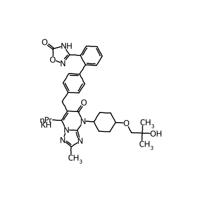 CCCc1c(Cc2ccc(-c3ccccc3-c3noc(=O)[nH]3)cc2)c(=O)n(C2CCC(OCC(C)(C)O)CC2)c2nc(C)nn12.[KH]